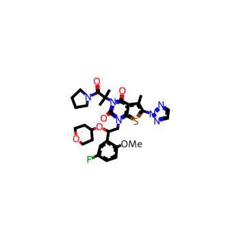 COc1ccc(F)cc1C(Cn1c(=O)n(C(C)(C)C(=O)N2CCCC2)c(=O)c2c(C)c(-n3nccn3)sc21)OC1CCOCC1